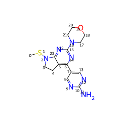 CSN1CCc2c(-c3cnc(N)nc3)nc(N3CCOCC3)nc21